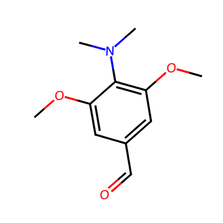 COc1cc(C=O)cc(OC)c1N(C)C